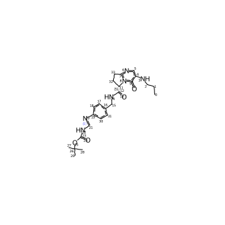 CCCNc1cnc2n(c1=O)[C@H](C(=O)NCc1ccc(/N=C/NC(=O)OC(C)(C)C)cc1)CC2